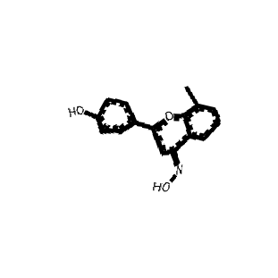 Cc1cccc2/c(=N/O)cc(-c3ccc(O)cc3)oc12